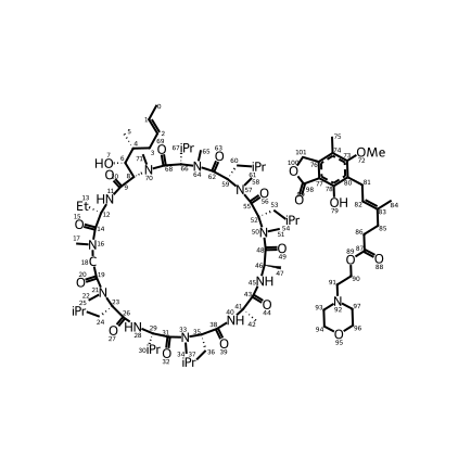 C/C=C/C[C@@H](C)[C@@H](O)[C@H]1C(=O)N[C@@H](CC)C(=O)N(C)CC(=O)N(C)[C@@H](CC(C)C)C(=O)N[C@@H](C(C)C)C(=O)N(C)[C@@H](CC(C)C)C(=O)N[C@@H](C)C(=O)N[C@H](C)C(=O)N(C)[C@@H](CC(C)C)C(=O)N(C)[C@@H](CC(C)C)C(=O)N(C)[C@@H](C(C)C)C(=O)N1C.COc1c(C)c2c(c(O)c1C/C=C(\C)CCC(=O)OCCN1CCOCC1)C(=O)OC2